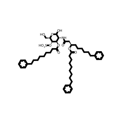 O=C(C[C@@H](CCCCCCc1ccccc1)OC(=O)CCCCCCCCc1ccccc1)N[C@H]1C(O)O[C@H](CO)[C@@H](OS(=O)(=O)O)[C@@H]1OC(=O)CCCCCCCCc1ccccc1